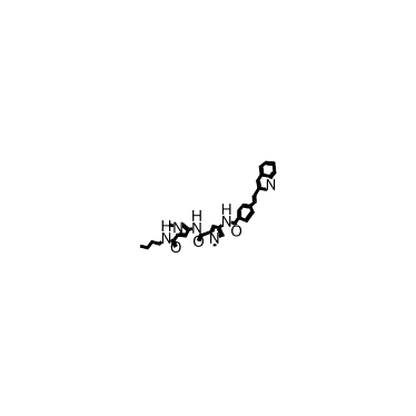 CCCCNC(=O)c1cc(NC(=O)c2cc(NC(=O)c3ccc(/C=C/c4cnc5ccccc5c4)cc3)cn2C)cn1C